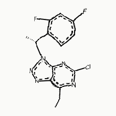 Cc1nc(Cl)nc2c1nnn2[C@H](C)c1ccc(F)cc1F